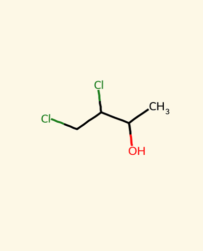 CC(O)C(Cl)CCl